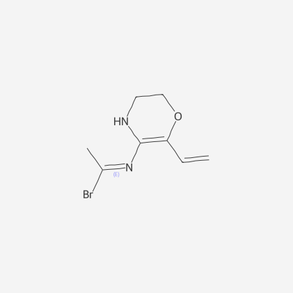 C=CC1=C(/N=C(\C)Br)NCCO1